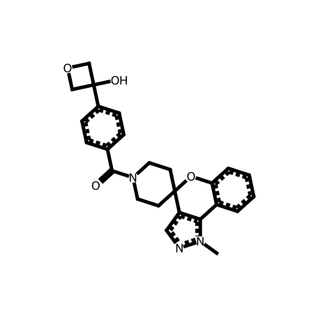 Cn1ncc2c1-c1ccccc1OC21CCN(C(=O)c2ccc(C3(O)COC3)cc2)CC1